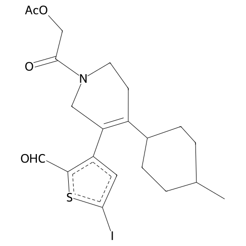 CC(=O)OCC(=O)N1CCC(C2CCC(C)CC2)=C(c2cc(I)sc2C=O)C1